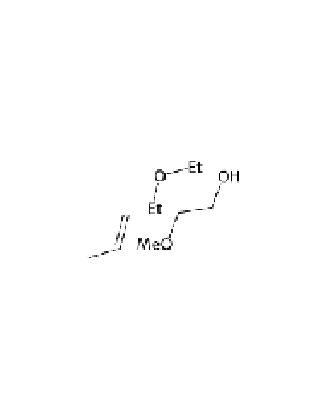 C=CC.CCOCC.COCCO